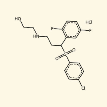 Cl.O=S(=O)(c1ccc(Cl)cc1)C(CCNCCO)c1cc(F)ccc1F